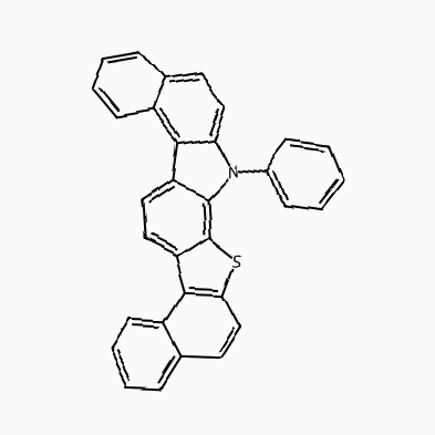 c1ccc(-n2c3ccc4ccccc4c3c3ccc4c(sc5ccc6ccccc6c54)c32)cc1